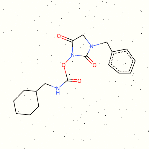 O=C(NCC1CCCCC1)ON1C(=O)CN(Cc2ccccc2)C1=O